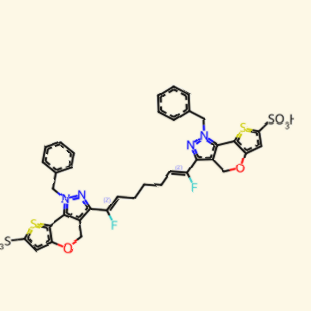 O=S(=O)(O)c1cc2c(s1)-c1c(c(/C(F)=C/CCC/C=C(\F)c3nn(Cc4ccccc4)c4c3COc3cc(S(=O)(=O)O)sc3-4)nn1Cc1ccccc1)CO2